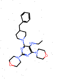 CCNc1c(N2CCOCC2)nc(N2CCOCC2)nc1N1CCC(Cc2ccccc2)CC1